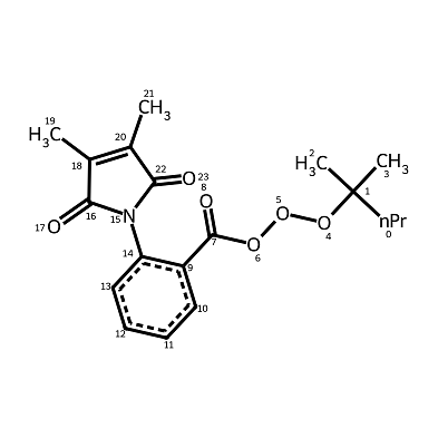 CCCC(C)(C)OOOC(=O)c1ccccc1N1C(=O)C(C)=C(C)C1=O